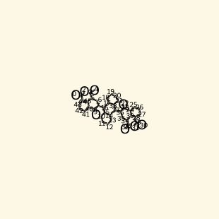 O=c1oc(=O)c2cc3c(oc4cccc5c4c3c3cccc4oc6c7cccc8c(=O)oc(=O)c(cc6c5c43)c87)c3cccc1c23